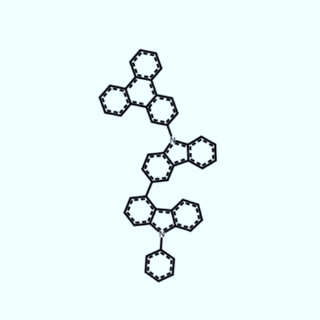 c1ccc(-n2c3ccccc3c3c(-c4ccc5c(c4)c4ccccc4n5-c4ccc5c6ccccc6c6ccccc6c5c4)cccc32)cc1